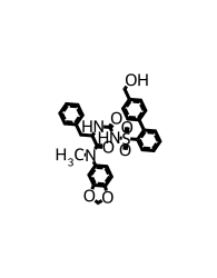 CN(C(=O)C(Cc1ccccc1)NC(=O)NS(=O)(=O)c1ccccc1-c1ccc(CO)cc1)c1ccc2c(c1)OCO2